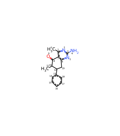 Cc1nc(N)nc2c1C(=O)C(C)C(c1ccccc1)C2